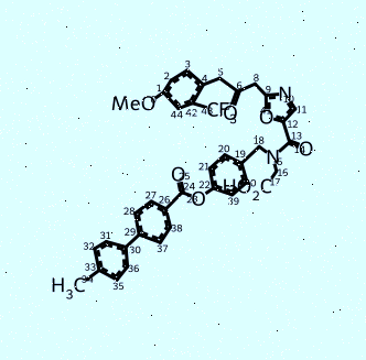 COc1ccc(CC(=O)Cc2ncc(C(=O)N(CC(=O)O)Cc3ccc(OC(=O)c4ccc(-c5ccc(C)cc5)cc4)cc3)o2)c(C(F)(F)F)c1